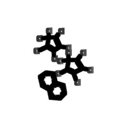 ClC1=C(Cl)C(Cl)(Cl)C(Cl)=C1Cl.ClC1=C(Cl)C(Cl)(Cl)C(Cl)=C1Cl.c1ccc2ccccc2c1